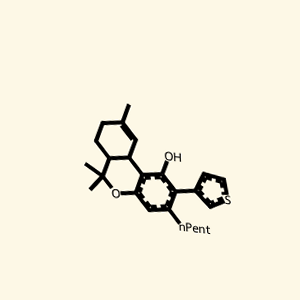 CCCCCc1cc2c(c(O)c1-c1ccsc1)C1C=C(C)CCC1C(C)(C)O2